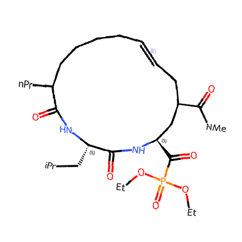 CCCC1CCCC/C=C/CC(C(=O)NC)C[C@@H](C(=O)P(=O)(OCC)OCC)NC(=O)[C@H](CC(C)C)NC1=O